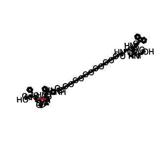 CC[C@H](C)[C@H](NC(=O)[C@H]1CCCC[N+]1(C)Cc1ccc(NC(=O)OCCOCCOCCOCCOCCOCCOCCOCCOCCOCCOCCOCCC(=O)NCCCC[C@H](NC(=O)OCC2c3ccccc3-c3ccccc32)C(=O)N[C@H](C(=O)N[C@@H](C)CCC(=O)O)C(C)C)cc1)C(=O)N(C)[C@H](C[C@@H](OC(C)=O)c1nc(C(=O)N[C@@H](Cc2ccccc2)C[C@H](C)C(=O)O)cs1)C(C)C